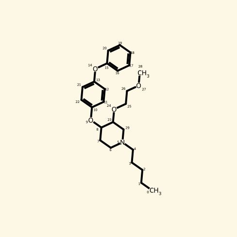 CCCCCN1CCC(Oc2ccc(Oc3ccccc3)cc2)C(OCCOC)C1